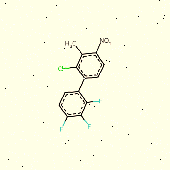 Cc1c([N+](=O)[O-])ccc(-c2ccc(F)c(F)c2F)c1Cl